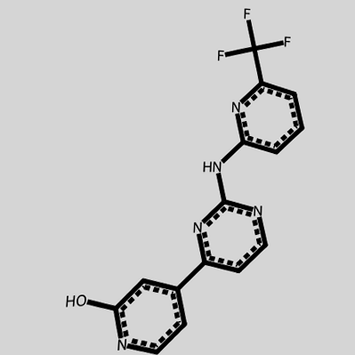 Oc1cc(-c2ccnc(Nc3cccc(C(F)(F)F)n3)n2)ccn1